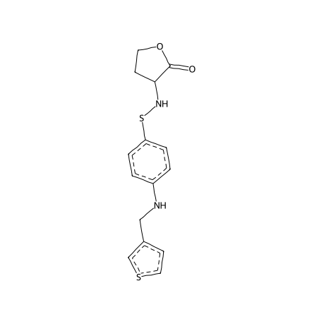 O=C1OCCC1NSc1ccc(NCc2ccsc2)cc1